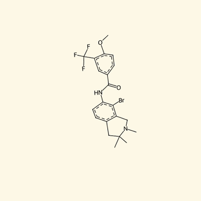 COc1ccc(C(=O)Nc2ccc3c(c2Br)CN(C)C(C)(C)C3)cc1C(F)(F)F